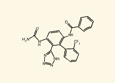 NC(=O)Nc1ccc(NC(=O)c2ccccc2)c(-c2ccccc2C(F)(F)F)c1-c1nnn[nH]1